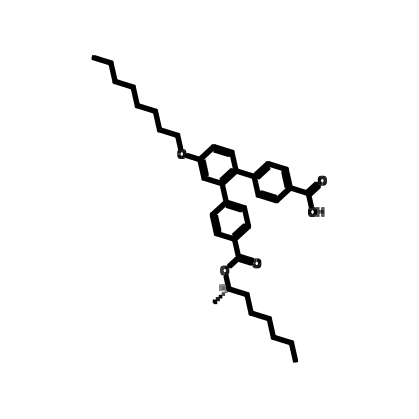 CCCCCCCCOc1ccc(-c2ccc(C(=O)O)cc2)c(-c2ccc(C(=O)O[C@@H](C)CCCCCC)cc2)c1